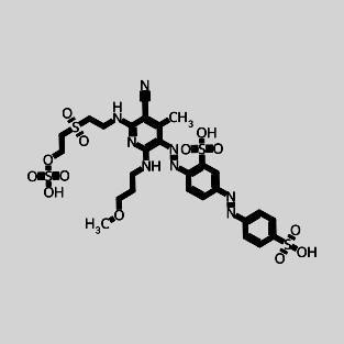 COCCCNc1nc(NCCS(=O)(=O)CCOS(=O)(=O)O)c(C#N)c(C)c1/N=N/c1ccc(/N=N/c2ccc(S(=O)(=O)O)cc2)cc1S(=O)(=O)O